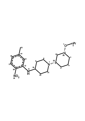 CCCO[C@@H]1CCC[C@H](N2CCC(Nc3cc(C)ccc3[N+](=O)[O-])CC2)C1